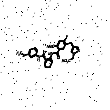 COc1cc(F)c(Cc2cnn(CC(=O)O)c2)cc1C(=O)NC1C2CCC(C2)C1C(=O)Nc1cccc(SC(F)(F)F)c1